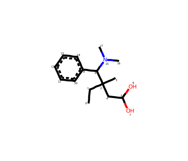 CCC(C)(CC(O)O)C(c1ccccc1)N(C)C